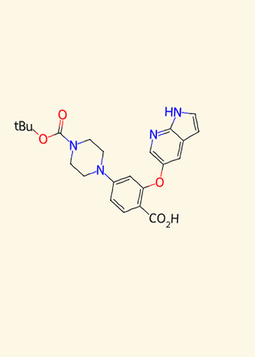 CC(C)(C)OC(=O)N1CCN(c2ccc(C(=O)O)c(Oc3cnc4[nH]ccc4c3)c2)CC1